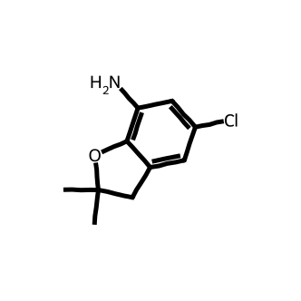 CC1(C)Cc2cc(Cl)cc(N)c2O1